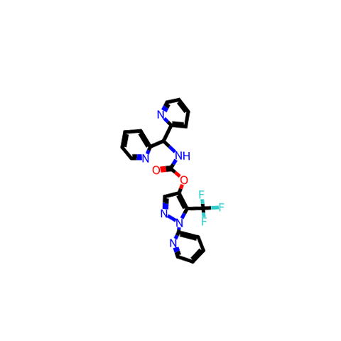 O=C(NC(c1ccccn1)c1ccccn1)Oc1cnn(-c2ccccn2)c1C(F)(F)F